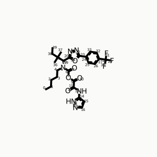 CCCCCN(C(=O)OC(=O)C(=O)Nc1ccn[nH]1)[C@@H](c1nnc(-c2ccc(C(F)(F)F)cc2)o1)C(C)(C)CC